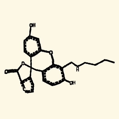 CCCCNCc1c(O)ccc2c1Oc1cc(O)ccc1C21OC(=O)c2ccccc21